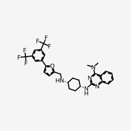 CN(C)c1nc(N[C@H]2CC[C@@H](NCc3ccc(-c4cc(C(F)(F)F)cc(C(F)(F)F)c4)o3)CC2)nc2ccccc12